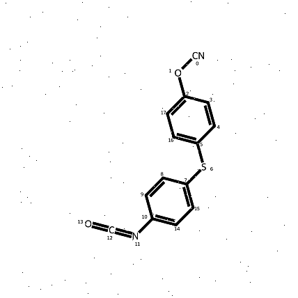 N#COc1ccc(Sc2ccc(N=C=O)cc2)cc1